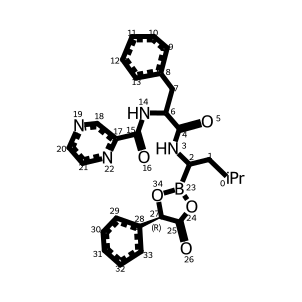 CC(C)CC(NC(=O)C(Cc1ccccc1)NC(=O)c1cnccn1)B1OC(=O)[C@@H](c2ccccc2)O1